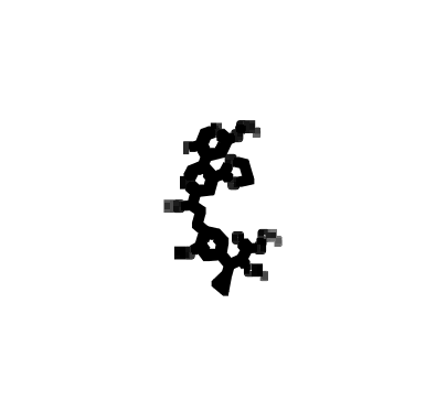 COC(=O)C(C)C(c1ccc(CCC(O)c2cc(C3OCCO3)c(-c3cc(OC)ncc3F)cn2)c(O)c1)C1CC1